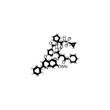 COc1ccc2c(O[C@@H]3C[C@@H](C(=O)NC4(C(=O)NS(=O)(=O)C5CC5)CCCC4)N(C(=O)C(CC(=O)N4CCCCC4)C(C)(C)C)C3)cc(-c3ccccc3)nc2c1